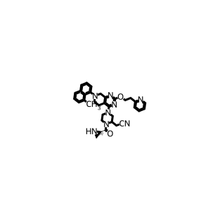 Cc1cccc2cccc(N3CCc4c(nc(OCCc5ccccn5)nc4N4CCN(C(=O)[C@@H]5CN5)C(CC#N)C4)C3)c12